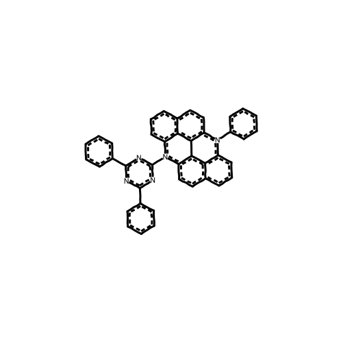 c1ccc(-c2nc(-c3ccccc3)nc(-n3c4ccc5cccc6c5c4-c4c5c(cccc53)ccc4n6-c3ccccc3)n2)cc1